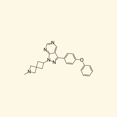 CN1CC2(CC(n3nc(-c4ccc(Oc5ccccc5)cc4)c4cncnc43)C2)C1